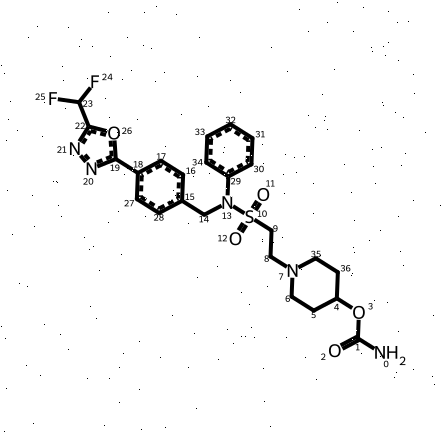 NC(=O)OC1CCN(CCS(=O)(=O)N(Cc2ccc(-c3nnc(C(F)F)o3)cc2)c2ccccc2)CC1